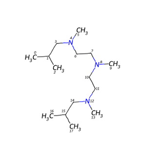 CC(C)CN(C)CCN(C)CCN(C)CC(C)C